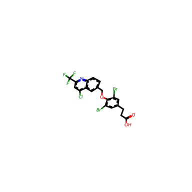 O=C(O)CCc1cc(Br)c(OCc2ccc3nc(C(F)(F)F)cc(Cl)c3c2)c(Br)c1